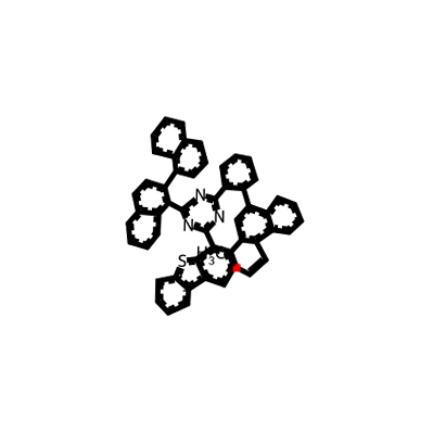 CC1CC=Cc2c1cc(-c1ccccc1-c1nc(-c3c(-c4cccc5ccccc45)ccc4ccccc34)nc(-c3cccc4c3sc3ccccc34)n1)c1ccccc21